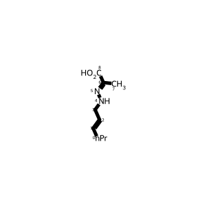 CCCC=CCNN=C(C)C(=O)O